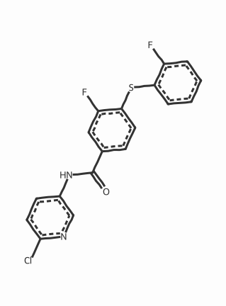 O=C(Nc1ccc(Cl)nc1)c1ccc(Sc2ccccc2F)c(F)c1